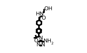 CC1(C)Oc2ncnc(N)c2N=C1c1ccc(C2CCC(=CC(=O)NCCO)CC2)cc1